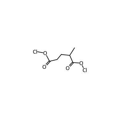 CC(CCC(=O)OCl)C(=O)OCl